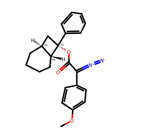 COc1ccc(C(=[N+]=[N-])C(=O)O[C@@]2(c3ccccc3)C[C@@H]3CCCC[C@H]32)cc1